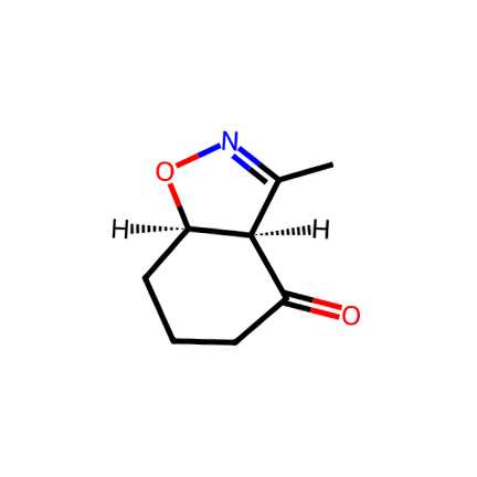 CC1=NO[C@@H]2CCCC(=O)[C@H]12